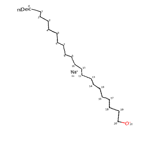 CCCCCCCCCCCCCCCCCCCCCCCCCCCCCC[O-].[Na+]